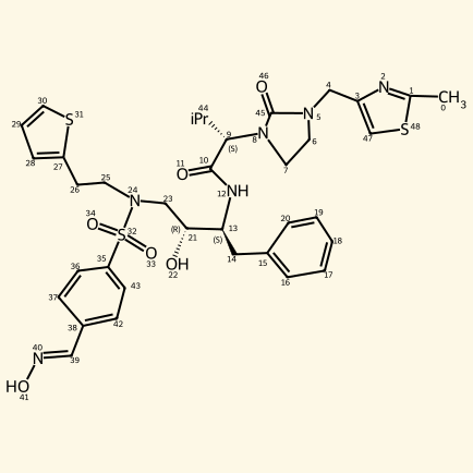 Cc1nc(CN2CCN([C@H](C(=O)N[C@@H](Cc3ccccc3)[C@H](O)CN(CCc3cccs3)S(=O)(=O)c3ccc(C=NO)cc3)C(C)C)C2=O)cs1